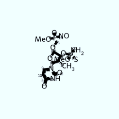 COP(=O)(CO[C@H]1O[C@@H](n2ccc(=O)[nH]c2=O)[C@H](C)[C@@H]1OP(N)(=S)OC)N=O